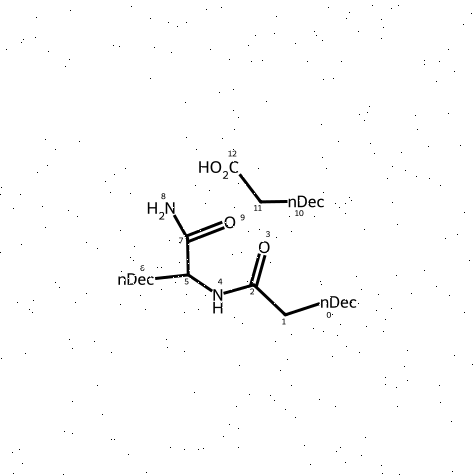 CCCCCCCCCCCC(=O)NC(CCCCCCCCCC)C(N)=O.CCCCCCCCCCCC(=O)O